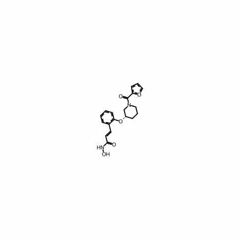 O=C(/C=C/c1ccccc1O[C@H]1CCCN(C(=O)c2ccco2)C1)NO